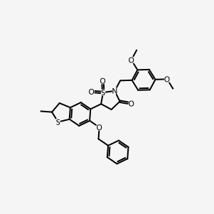 COc1ccc(CN2C(=O)CC(c3cc4c(cc3OCc3ccccc3)SC(C)C4)S2(=O)=O)c(OC)c1